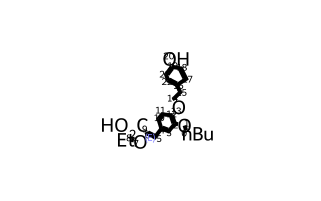 CCCCOc1cc(/C=C(/OCC)C(=O)O)ccc1OCCc1ccc(O)cc1